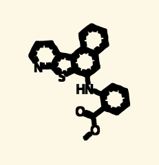 COC(=O)c1ccccc1Nc1cc2ccccc2c2c1sc1ncccc12